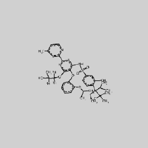 [2H]C(C)(O)C([2H])([2H])Oc1nc(-c2nccc(C)n2)nc(NS(=O)(=O)c2ccc(C(CC)(C(C)C)C(C)(C)C)c(C)c2)c1Oc1ccccc1OC(C)C